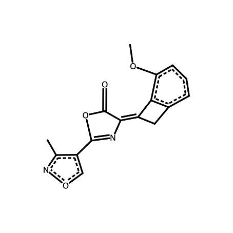 COc1cccc2c1C(=C1N=C(c3conc3C)OC1=O)C2